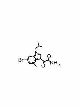 Cc1cc(Br)cc2c1c(C(=O)C(N)=O)cn2CC(C)C